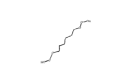 OOOCCCCCCOOO